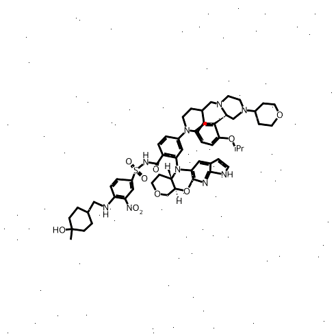 CC(C)Oc1ccccc1[C@@H]1CN(C2CCOCC2)CCN1CC1CCN(c2ccc(C(=O)NS(=O)(=O)c3ccc(NCC4CCC(C)(O)CC4)c([N+](=O)[O-])c3)c(N3c4cc5cc[nH]c5nc4O[C@H]4COCC[C@@H]43)c2)CC1